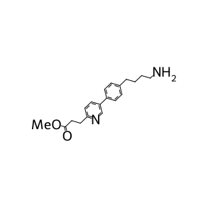 COC(=O)CCc1ccc(-c2ccc(CCCCN)cc2)cn1